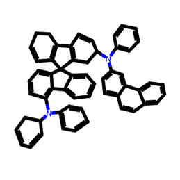 C1=CCC(N(c2ccccc2)c2cccc3c2-c2ccccc2C32C3=C(CCC=C3)C3=C2CC(N(c2ccccc2)c2ccc4ccc5ccccc5c4c2)C=C3)C=C1